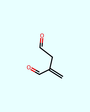 C=C(C=O)CC=O